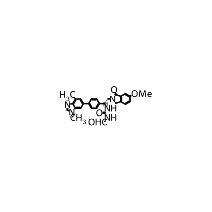 COc1ccc2c(c1)C(=O)N(C[C@H](NC(=O)NC=O)c1ccc(-c3cc(C)c4ncn(C)c4c3)cc1)C2